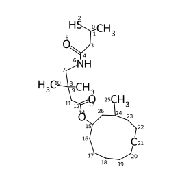 CC(S)CC(=O)NCC(C)(C)CC(=O)OC1CCCCCCCCC(C)C1